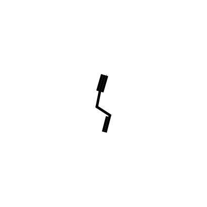 [C]#CCC=C